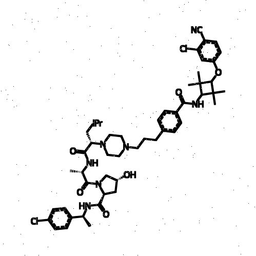 CC(C)C[C@@H](C(=O)N[C@@H](C)C(=O)N1C[C@H](O)C[C@H]1C(=O)N[C@@H](C)c1ccc(Cl)cc1)N1CCN(CCCc2ccc(C(=O)NC3C(C)(C)C(Oc4ccc(C#N)c(Cl)c4)C3(C)C)cc2)CC1